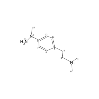 CN(C)CCc1ccc(N(C)N)cc1